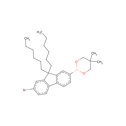 CCCCCCC1(CCCCCC)c2cc(Br)ccc2-c2ccc(B3OCC(C)(C)CO3)cc21